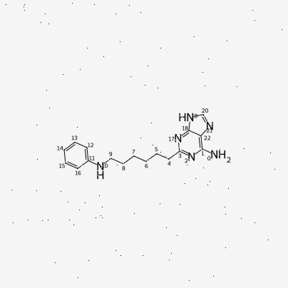 Nc1nc(CCCCCCNc2ccccc2)nc2[nH]cnc12